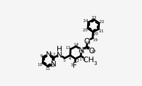 CC1C(F)C(CNc2ncccn2)CCN1C(=O)OCc1ccccc1